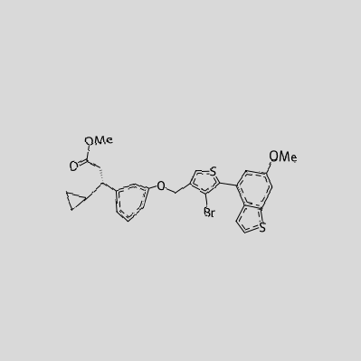 COC(=O)C[C@H](c1cccc(OCc2csc(-c3cc(OC)cc4sccc34)c2Br)c1)C1CC1